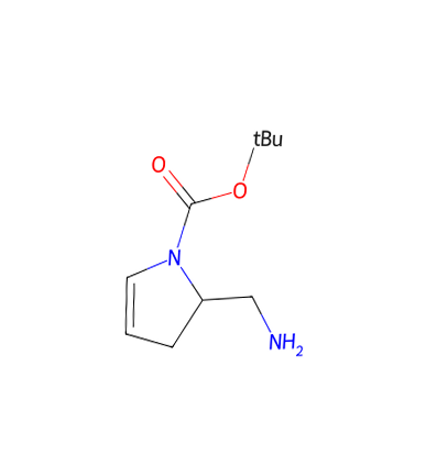 CC(C)(C)OC(=O)N1C=CCC1CN